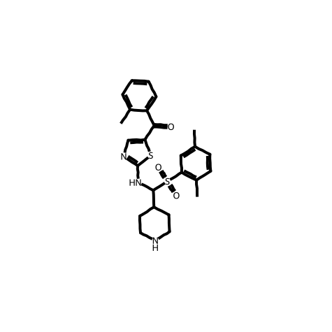 Cc1ccc(C)c(S(=O)(=O)C(Nc2ncc(C(=O)c3ccccc3C)s2)C2CCNCC2)c1